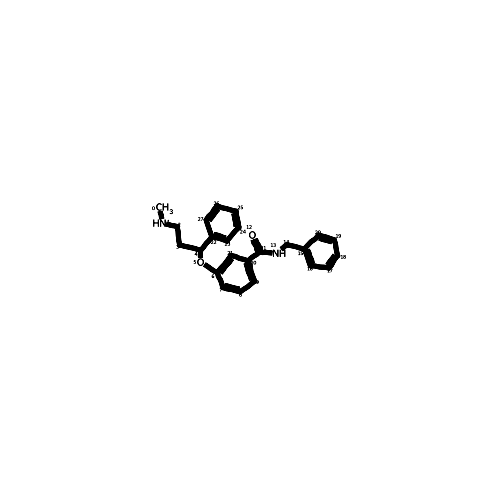 CNCCC(Oc1cccc(C(=O)NCc2ccccc2)c1)c1ccccc1